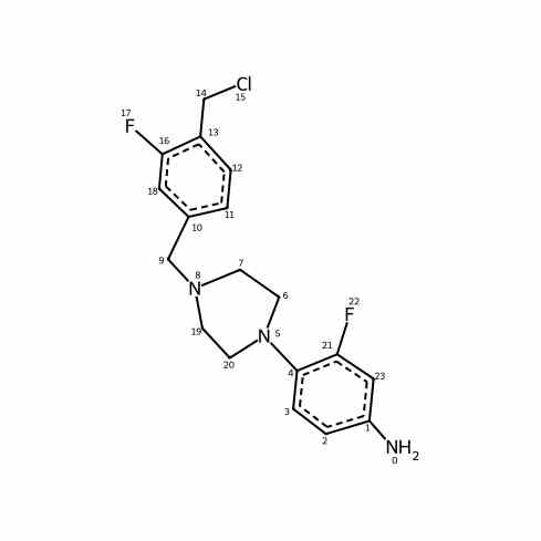 Nc1ccc(N2CCN(Cc3ccc(CCl)c(F)c3)CC2)c(F)c1